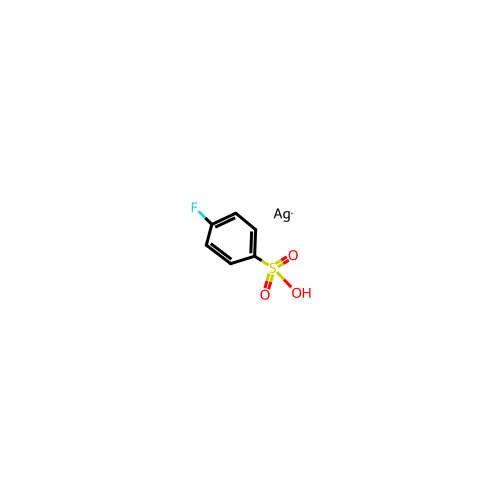 O=S(=O)(O)c1ccc(F)cc1.[Ag]